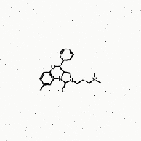 Cc1ccc2c(c1)N1C(=O)N(CCCN(C)C)CC1C(c1ccccc1)O2